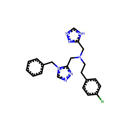 Brc1ccc(CCN(Cc2nnc[nH]2)Cc2nncn2Cc2ccccc2)cc1